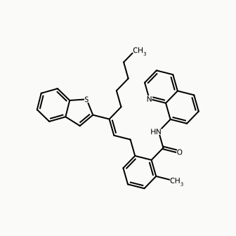 CCCCCC(=CCc1cccc(C)c1C(=O)Nc1cccc2cccnc12)c1cc2ccccc2s1